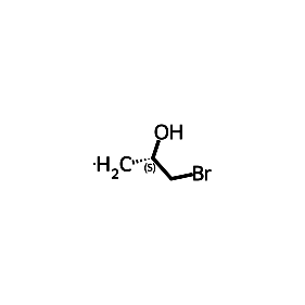 [CH2][C@H](O)CBr